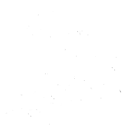 C[C@@H]1CN(Cc2ccc3nc([C@H]4CCOC(C)(C)C4)ccc3c2)C[C@H]1Oc1ccc2c(c1)CN([C@H]1CCC(=O)NC1=O)C2=O